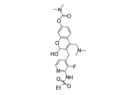 CCS(=O)(=O)Nc1nccc(CC2=C(CN(C)C)c3ccc(OC(=O)N(C)C)cc3OC2O)c1F